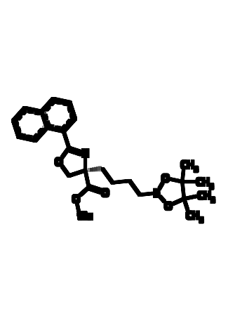 CC(C)(C)OC(=O)[C@@]1(CCCCB2OC(C)(C)C(C)(C)O2)COC(c2cccc3ccccc23)=N1